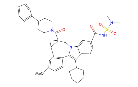 COc1ccc2c(c1)C1CC1(C(=O)N1CCC(c3ccccc3)CC1)Cn1c-2c(C2CCCCC2)c2ccc(C(=O)NS(=O)(=O)N(C)C)cc21